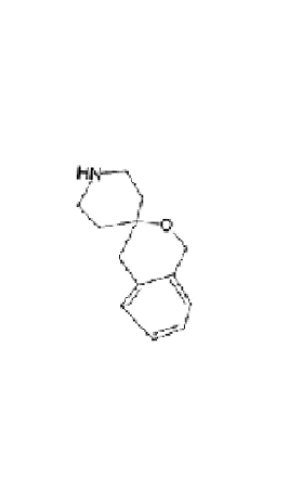 c1ccc2c(c1)COC1(CCNCC1)C2